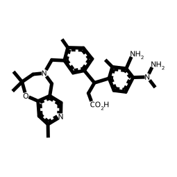 Cc1cc2c(cn1)CN(Cc1cc(C(CC(=O)O)c3ccc(N(C)N)c(N)c3C)ccc1C)CC(C)(C)O2